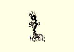 COc1ccc(CC(NC(=O)O)C(=O)C#CCCO[Si](C)(C)C(C)(C)C)cc1